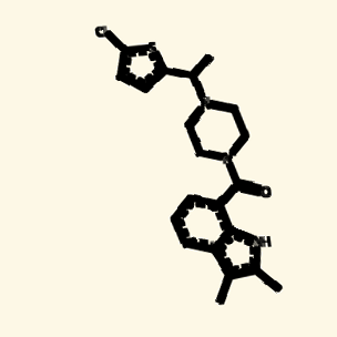 Cc1[nH]c2c(C(=O)N3CCN(C(C)c4ccc(Cl)s4)CC3)cccc2c1C